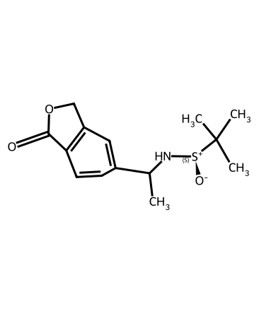 CC(N[S@+]([O-])C(C)(C)C)c1ccc2c(c1)COC2=O